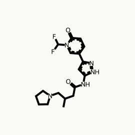 CC(CC(=O)Nc1cc(-c2ccc(=O)n(C(F)F)c2)n[nH]1)CN1CCCC1